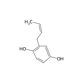 C/C=C\Cc1cc(O)ccc1O